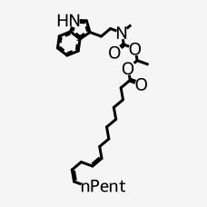 CCCCC/C=C\C/C=C\CCCCCCCC(=O)OC(C)OC(=O)N(C)CCc1c[nH]c2ccccc12